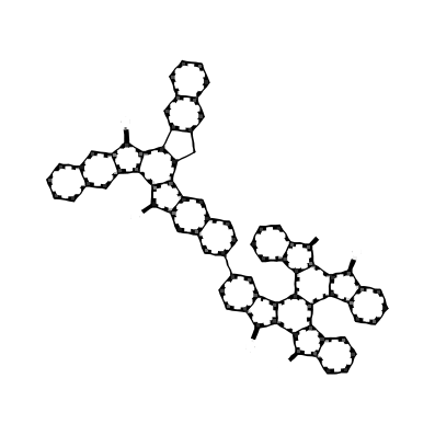 O=c1c2cc3ccccc3cc2c2c1c1c(c3c4cc5ccc(-c6ccc7c(=O)c8c9c(=O)c%10ccccc%10c9c9c%10c%11ccccc%11c(=O)c%10c%10c(=O)c%11ccccc%11c%10c9c8c7c6)cc5cc4c(=O)c32)Cc2cc3ccccc3cc2-1